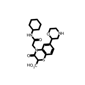 O=C(CN1C(=O)C(C(=O)O)Sc2ccc(C3CNCCO3)cc21)NC1CCCCC1